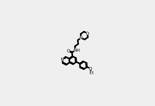 CCOc1ccc(-c2cc(C(=O)NCCCN3CCOCC3)c3cnccc3c2)cc1